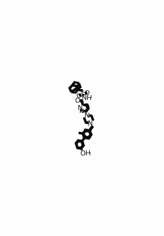 Cc1cc(CN2CCN(c3ccc(C(=O)NS(=O)(=O)CC45CC6CC(CC(C6)C4)C5)nn3)CC2)ccc1-c1cccc(O)c1